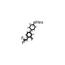 CCCCCCC1CCC(c2ccc(C=C(F)F)c(F)c2)CC1